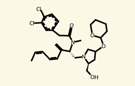 C=C(/C=C\C=C/C)[C@@H](CN1CC(OC2CCCCO2)C[C@H]1CO)N(C)C(=O)Cc1ccc(Cl)c(Cl)c1